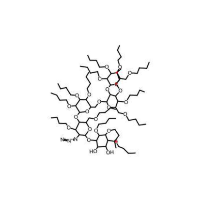 CCCCOCC1OC(OC2C(O)C(O)C(OCCCC)C(OCCCC)C2OCCCC)C(N=[N+]=[N-])C(OCCCC)C1OC1OC(COC2OC(COCCCC)C(OCCCC)C(OCCCC)C2OC2OC(COCCCC)C(OCCCC)C(OCCCC)C2OCCCC)C(OCCCC)C(OCCCC)C1OCCCC